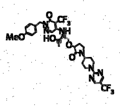 COc1ccc(Cn2ncc(N[C@H](COC3CCN(C4CCN(c5ncc(C(F)(F)F)cn5)CC4)C3=O)[C@@H](C)O)c(C(F)(F)F)c2=O)cc1